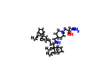 CC1C2CCC(C2)C1(C)CCCCC(NCC1CCN(CC(O)CN)CC1)C1(C)C2CCC(C2)C1C